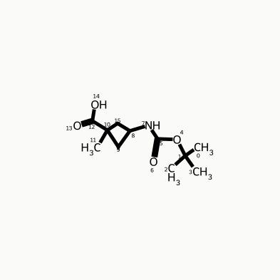 CC(C)(C)OC(=O)NC1CC(C)(C(=O)O)C1